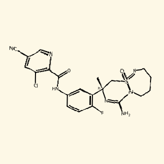 C[C@@]1(c2cc(NC(=O)c3ncc(C#N)cc3Cl)ccc2F)CS2(=O)=NCCCCN2C(N)=N1